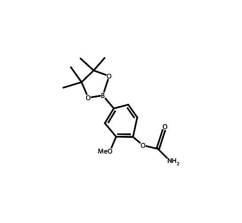 COc1cc(B2OC(C)(C)C(C)(C)O2)ccc1OC(N)=O